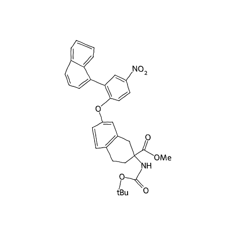 COC(=O)C1(NC(=O)OC(C)(C)C)CCc2ccc(Oc3ccc([N+](=O)[O-])cc3-c3cccc4ccccc34)cc2C1